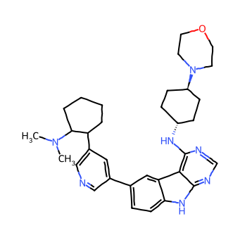 CN(C)C1CCCCC1c1cncc(-c2ccc3[nH]c4ncnc(N[C@H]5CC[C@H](N6CCOCC6)CC5)c4c3c2)c1